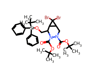 CC(C)(C)OC(=O)N1CC2C(C(CO[Si](c3ccccc3)(c3ccccc3)C(C)(C)C)N1C(=O)OC(C)(C)C)C2(Br)Br